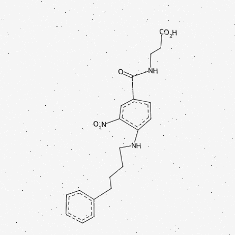 O=C(O)CCNC(=O)c1ccc(NCCCCc2ccccc2)c([N+](=O)[O-])c1